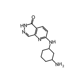 NC1CCCC(Nc2ccc3c(=O)[nH]ncc3n2)C1